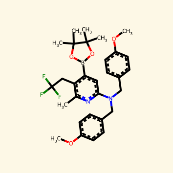 COc1ccc(CN(Cc2ccc(OC)cc2)c2cc(B3OC(C)(C)C(C)(C)O3)c(CC(F)(F)F)c(C)n2)cc1